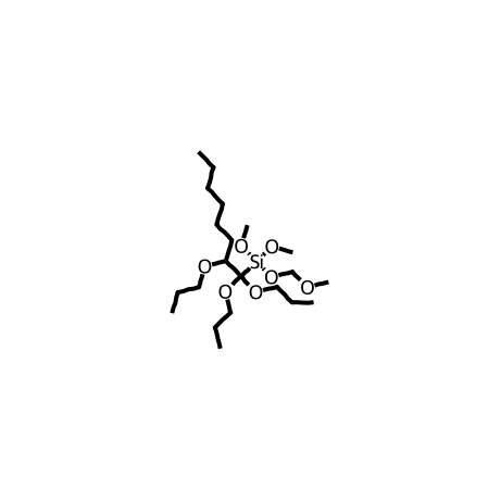 CCCCCCC(OCCC)C(OCCC)(OCCC)[Si](OC)(OC)OCOC